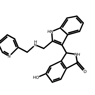 O=C1NC(c2c(CNCc3ccccn3)[nH]c3ccccc23)c2cc(O)ccc21